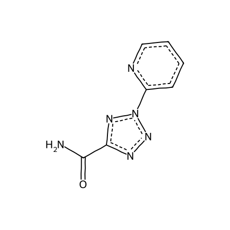 NC(=O)c1nnn(-c2ccccn2)n1